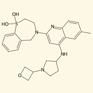 Cc1ccc2nc(N3CCS(O)(O)c4ccccc4C3)cc(NC3CCN(C4COC4)C3)c2c1